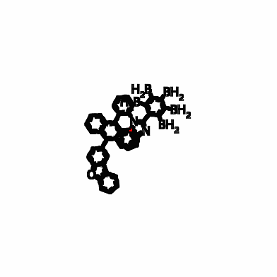 Bc1c(B)c(B)c(-c2nc3ccccc3n2-c2ccccc2-c2c3ccccc3c(-c3ccc4oc5ccccc5c4c3)c3ccccc23)c(B)c1B